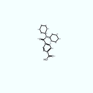 O=C(O)c1ccc(C(=O)N(C2CCCCC2)C2CCCCC2)cc1